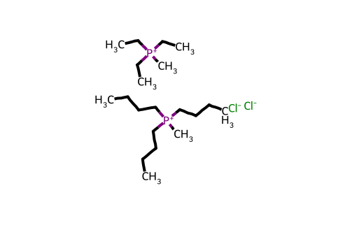 CCCC[P+](C)(CCCC)CCCC.CC[P+](C)(CC)CC.[Cl-].[Cl-]